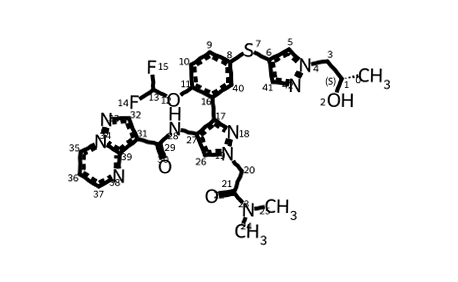 C[C@H](O)Cn1cc(Sc2ccc(OC(F)F)c(-c3nn(CC(=O)N(C)C)cc3NC(=O)c3cnn4cccnc34)c2)cn1